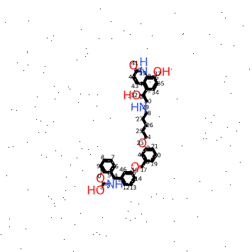 O=C(O)NC(c1ccccc1)c1cccc(OCc2cccc(OCCCCCNC[C@@H](O)c3ccc(O)c4[nH]c(=O)ccc34)c2)c1